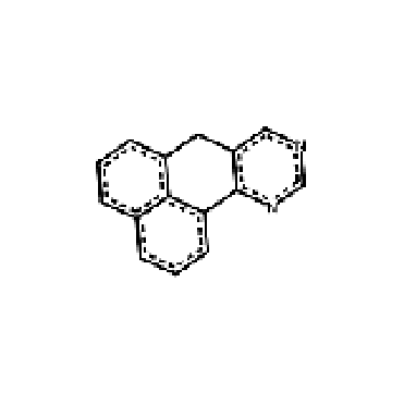 c1cc2c3c(cccc3c1)-c1ncncc1C2